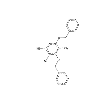 CC(=O)c1c(O)cc(OCc2ccccc2)c(O)c1OCc1ccccc1